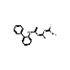 C=C(/N=C(C)\N=C(/N)Cl)Nc1ccccc1-c1ccccc1